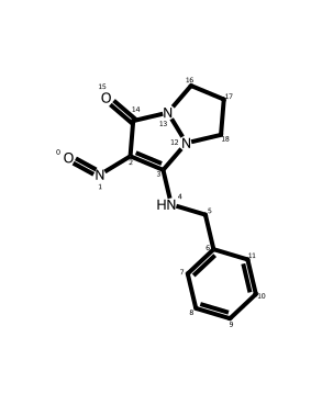 O=Nc1c(NCc2ccccc2)n2n(c1=O)CCC2